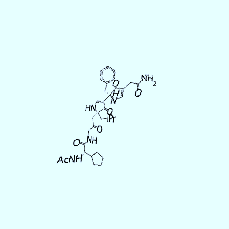 CC(=O)N[C@H](C(=O)NCC(=O)C[C@]1(CC(C)C)NC=C([C@]2(Cc3ccccc3)NC=C(CC(N)=O)C2=O)C1=O)C1CCCC1